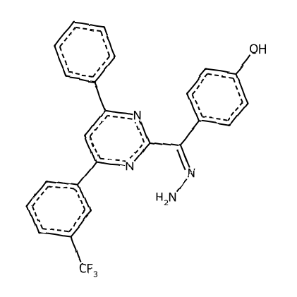 NN=C(c1ccc(O)cc1)c1nc(-c2ccccc2)cc(-c2cccc(C(F)(F)F)c2)n1